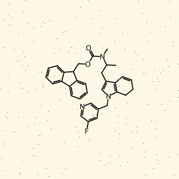 CC(Cc1cn(Cc2cncc(F)c2)c2c1C=CCC2)N(C)C(=O)OCC1c2ccccc2-c2ccccc21